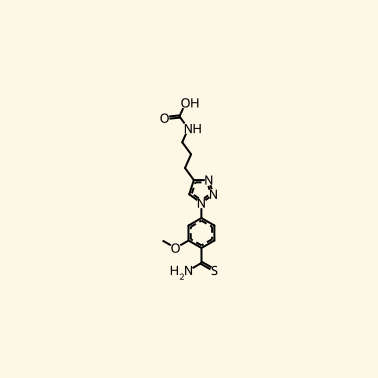 COc1cc(-n2cc(CCCNC(=O)O)nn2)ccc1C(N)=S